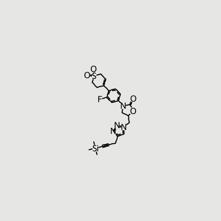 C[Si](C)(C)C#CCc1cn(CC2CN(c3ccc(C4=CCS(=O)(=O)CC4)c(F)c3)C(=O)O2)nn1